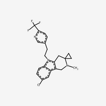 CN1Cc2c(n(CCc3ccc(C(F)(F)F)nc3)c3ccc(Cl)cc23)CC12CC2